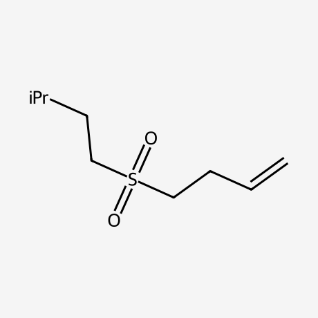 C=CCCS(=O)(=O)CCC(C)C